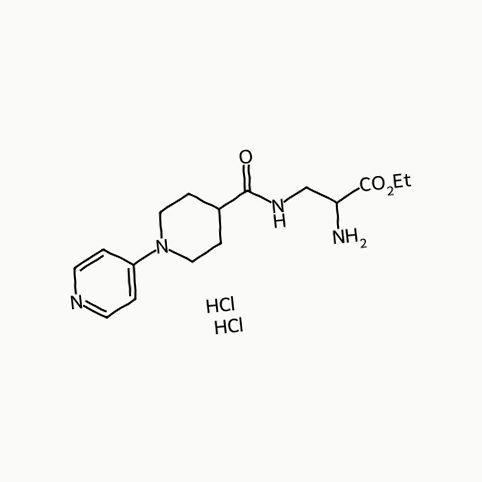 CCOC(=O)C(N)CNC(=O)C1CCN(c2ccncc2)CC1.Cl.Cl